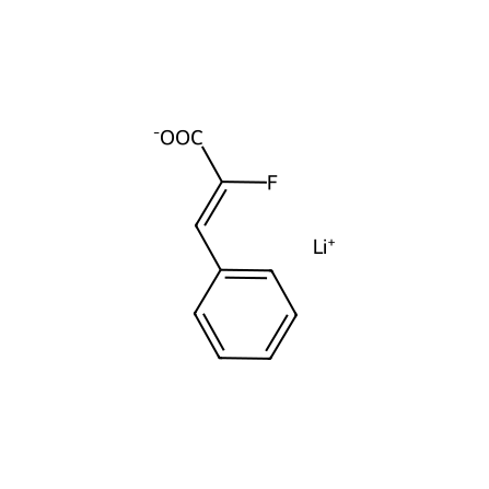 O=C([O-])C(F)=Cc1ccccc1.[Li+]